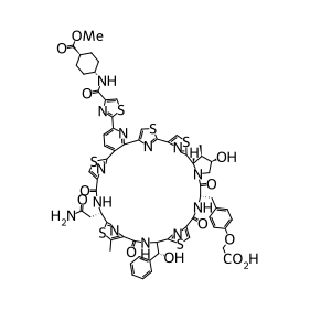 COC(=O)[C@H]1CC[C@H](NC(=O)c2csc(-c3ccc4c(n3)-c3csc(n3)-c3csc(n3)[C@@H]3[C@@H](C)[C@@H](O)CN3C(=O)[C@H](Cc3ccc(OCC(=O)O)cc3)NC(=O)c3csc(n3)C([C@H](O)c3ccccc3)NC(=O)c3nc(sc3C)[C@H](CC(N)=O)NC(=O)c3csc-4n3)n2)CC1